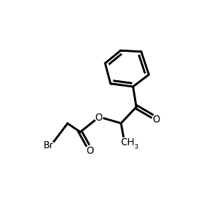 CC(OC(=O)CBr)C(=O)c1ccccc1